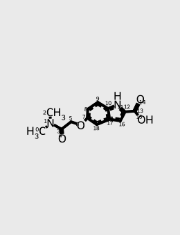 CN(C)C(=O)COc1ccc2[nH]c(C(=O)O)cc2c1